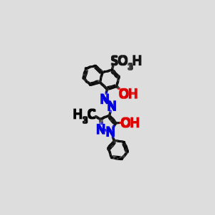 Cc1nn(-c2ccccc2)c(O)c1/N=N/c1c(O)cc(S(=O)(=O)O)c2ccccc12